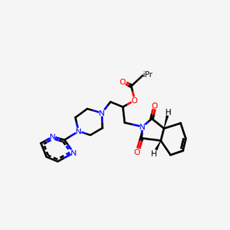 CC(C)C(=O)OC(CN1CCN(c2ncccn2)CC1)CN1C(=O)[C@H]2CC=CC[C@H]2C1=O